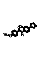 CCCCOc1ccc(C(=O)Nc2ccc(N3CCC(N(C)C)C3)cc2Cl)cc1